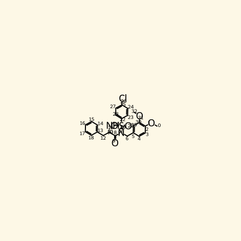 COc1ccc(CN(C(=O)[C@@H](N)Cc2ccccc2)S(=O)(=O)c2ccc(Cl)cc2)cc1OC